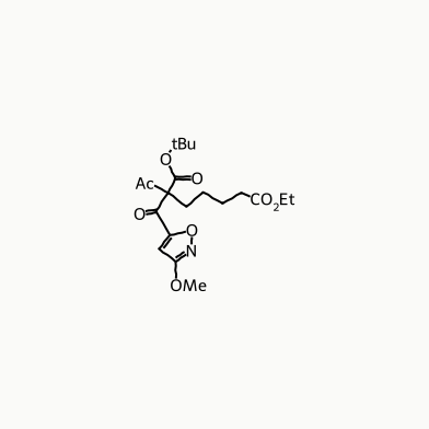 CCOC(=O)CCCCC(C(C)=O)(C(=O)OC(C)(C)C)C(=O)c1cc(OC)no1